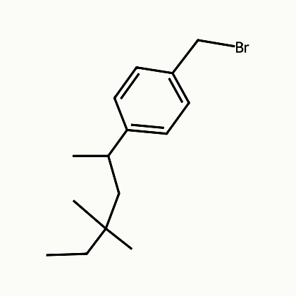 CCC(C)(C)CC(C)c1ccc(CBr)cc1